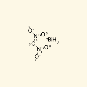 O=[N+]([O-])O[N+](=O)[O-].[BiH3]